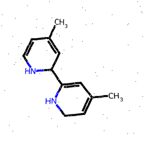 CC1=CCNC(C2C=C(C)C=CN2)=C1